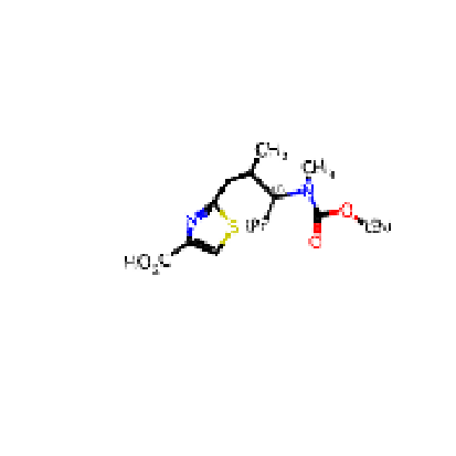 CC(C)[C@@H](C(C)Cc1nc(C(=O)O)cs1)N(C)C(=O)OC(C)(C)C